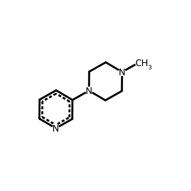 CN1CCN(c2cccnc2)CC1